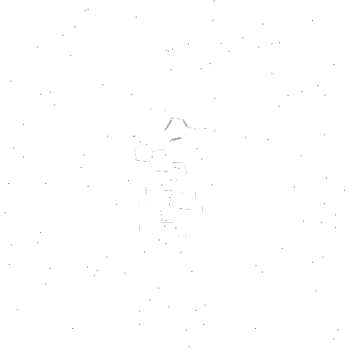 CC1C(C)C(C)C([Si](C)(C)C2CCC3C2CC2CCCC2C3c2cc(C(C)(C)C)cc(C(C)(C)C)c2)C1C